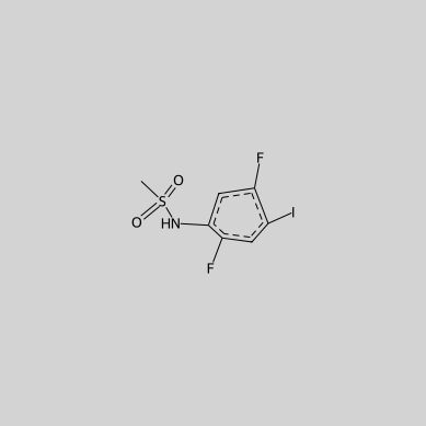 CS(=O)(=O)Nc1cc(F)c(I)cc1F